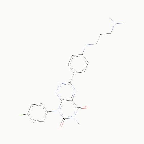 CCN(CC)CCCNc1ccc(-c2nnc3c(n2)c(=O)n(C)c(=O)n3-c2ccc(F)cc2)cc1